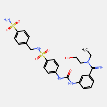 CCN(CCO)C(=N)c1cccc(NC(=O)Nc2ccc(S(=O)(=O)NCc3ccc(S(N)(=O)=O)cc3)cc2)c1